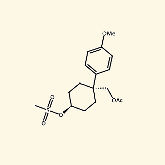 COc1ccc([C@]2(COC(C)=O)CC[C@H](OS(C)(=O)=O)CC2)cc1